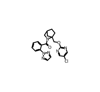 O=C(c1ccccc1-n1nccn1)N1CC2CCC1(COc1ncc(Cl)cn1)C2